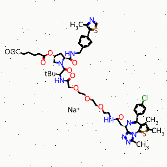 Cc1ncsc1-c1ccc(CNC(=O)[C@@H]2C[C@@H](OC(=O)CCCCC(=O)[O-])CN2C(=O)[C@@H](NC(=O)COCCOCCOCCNC(=O)C[C@@H]2N=C(c3ccc(Cl)cc3)c3c(sc(C)c3C)-n3c(C)nnc32)C(C)(C)C)cc1.[Na+]